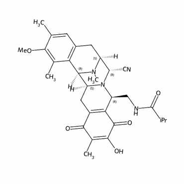 COc1c(C)cc2c(c1C)[C@@H]1[C@@H]3CC4=C(C(=O)C(O)=C(C)C4=O)[C@H](CNC(=O)C(C)C)N3[C@@H](C#N)[C@H](C2)N1C